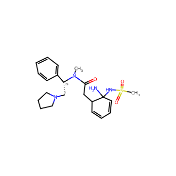 CN(C(=O)CC1C=CC=CC1(N)NS(C)(=O)=O)[C@H](CN1CCCC1)c1ccccc1